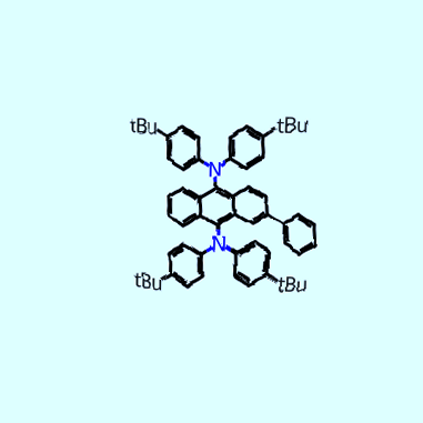 CC(C)(C)c1ccc(N(c2ccc(C(C)(C)C)cc2)c2c3ccccc3c(N(c3ccc(C(C)(C)C)cc3)c3ccc(C(C)(C)C)cc3)c3cc(-c4ccccc4)ccc23)cc1